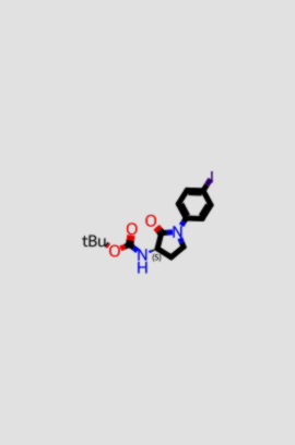 CC(C)(C)OC(=O)N[C@H]1CCN(c2ccc(I)cc2)C1=O